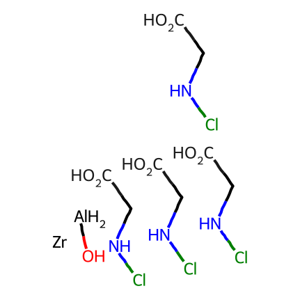 O=C(O)CNCl.O=C(O)CNCl.O=C(O)CNCl.O=C(O)CNCl.[OH][AlH2].[Zr]